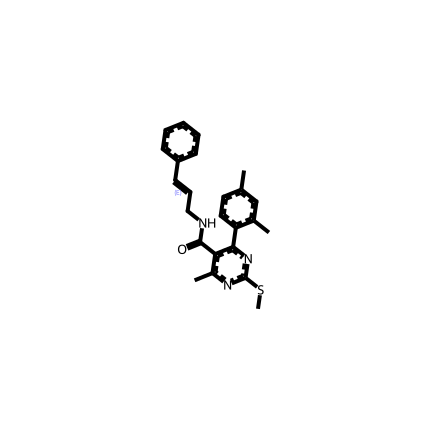 CSc1nc(C)c(C(=O)NC/C=C/c2ccccc2)c(-c2ccc(C)cc2C)n1